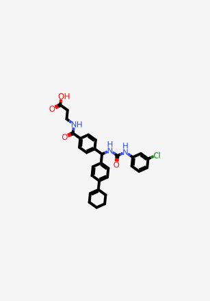 O=C(O)CCNC(=O)c1ccc(C(NC(=O)Nc2cccc(Cl)c2)c2ccc(C3=CCCCC3)cc2)cc1